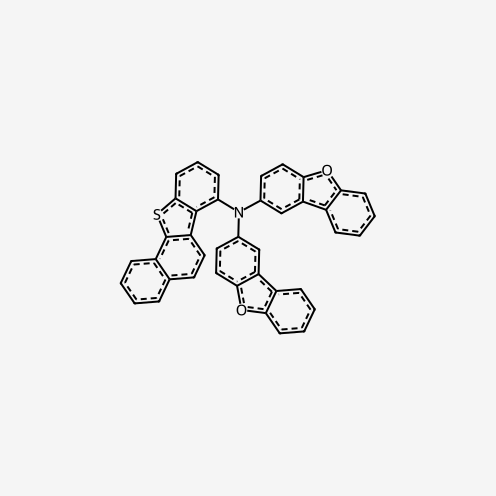 c1ccc2c(c1)ccc1c2sc2cccc(N(c3ccc4oc5ccccc5c4c3)c3ccc4oc5ccccc5c4c3)c21